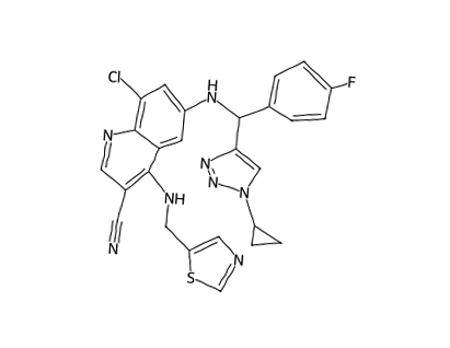 N#Cc1cnc2c(Cl)cc(NC(c3ccc(F)cc3)c3cn(C4CC4)nn3)cc2c1NCc1cncs1